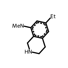 CCc1cc2c(c(NC)c1)CNCC2